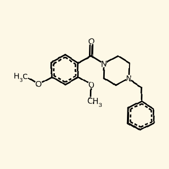 COc1ccc(C(=O)N2CCN(Cc3ccccc3)CC2)c(OC)c1